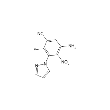 N#Cc1cc(N)c([N+](=O)[O-])c(-n2cccn2)c1F